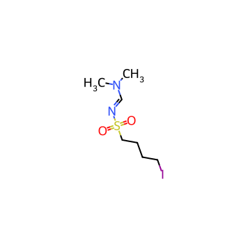 CN(C)/C=N/S(=O)(=O)CCCCI